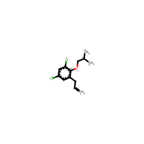 C=CCc1cc(Cl)cc(Cl)c1OCC(C)C